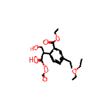 CCOC(=O)c1cc(CC)ccc1C(CO)C(O)OC=O.CCOCC